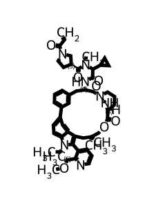 C=CC(=O)N1CC[C@H](C(=O)N(C)C(C(=O)N[C@H]2Cc3cccc(c3)-c3ccc4c(c3)c(c(-c3cccnc3[C@H](C)OC)n4CC)CC(C)(C)COC(=O)[C@@H]3CCCN(N3)C2=O)C2CC2)C1